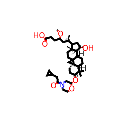 COC(CCC(=O)O)C[C@@H](C)C1C[C@H](O)[C@@]2(C)[C@@H]3CC[C@H]4C(C)(C)[C@@H](OC5CN(C(=O)CC6CC6)CCO5)CC[C@@]45CC35CC[C@]12C